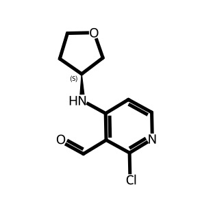 O=Cc1c(N[C@H]2CCOC2)ccnc1Cl